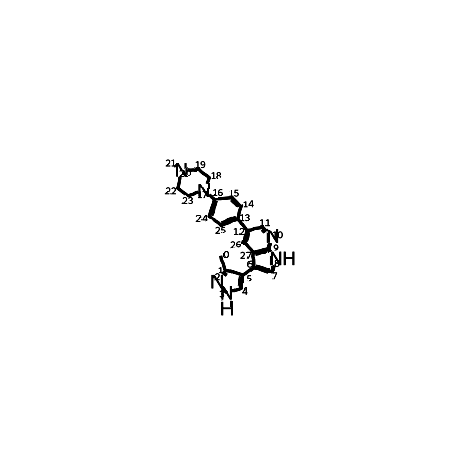 Cc1n[nH]cc1-c1c[nH]c2ncc(-c3ccc(N4CCN(C)CC4)cc3)cc12